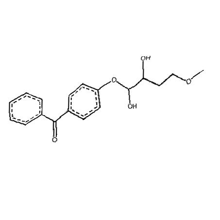 COCCC(O)C(O)Oc1ccc(C(=O)c2ccccc2)cc1